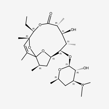 CC[C@H]1OC(=O)[C@H](C)[C@@H](O)[C@H](C)[C@@H](O[C@@H]2O[C@H](C)C[C@H](N(C)C)[C@H]2O)[C@]2(C)C[C@@H](C)C3(O[C@]1(C)C=C3C)O2